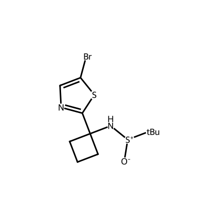 CC(C)(C)[S+]([O-])NC1(c2ncc(Br)s2)CCC1